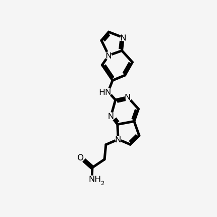 NC(=O)CCn1ccc2cnc(Nc3ccc4nccn4c3)nc21